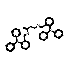 C=C(CC/N=C/c1ccccc1P(c1ccccc1)c1ccccc1)/N=C/c1ccccc1P(c1ccccc1)c1ccccc1